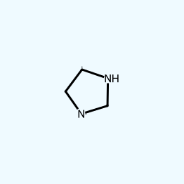 [CH]1C[N]CN1